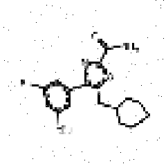 CC(C)(C)c1cc(-c2nc(C(N)=O)oc2CC2CCCCC2)cc(C(C)(C)C)c1